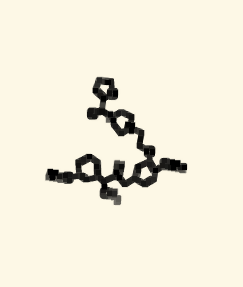 COc1cccc([C@H](C)NCc2ccc(OC)c(OCCN3CCN(C(=O)c4ccco4)CC3)c2)c1